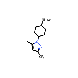 CC(=O)NC1CCC(n2nc(C(F)(F)F)cc2C)CC1